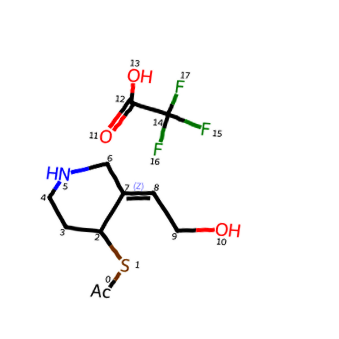 CC(=O)SC1CCNC/C1=C/CO.O=C(O)C(F)(F)F